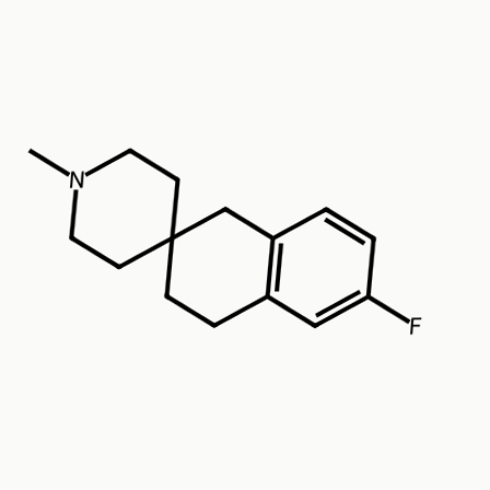 CN1CCC2(CCc3cc(F)ccc3C2)CC1